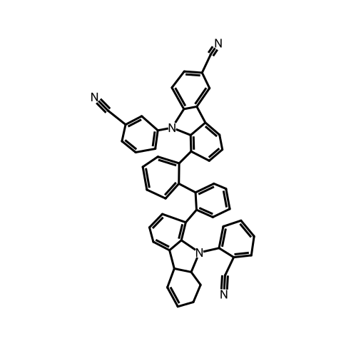 N#Cc1cccc(-n2c3ccc(C#N)cc3c3cccc(-c4ccccc4-c4ccccc4-c4cccc5c4N(c4ccccc4C#N)C4CCC=CC54)c32)c1